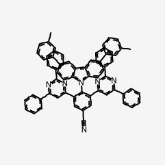 Cc1cccc(-c2ccc3c(c2)c2cc(-c4cccc(C)c4)ccc2n3-c2c(-c3cc(-c4ccccc4)nc(-c4ccccc4)n3)cc(C#N)cc2-c2cc(-c3ccccc3)nc(-c3ccccc3)n2)c1